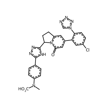 CN(C(=O)O)c1ccc(-c2nnc(C3CCc4cc(-c5cc(Cl)ccc5-n5cnnn5)cc(=O)n43)[nH]2)cc1